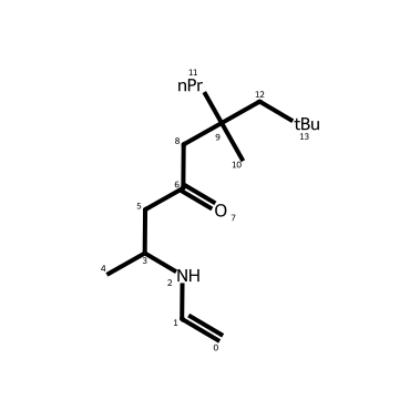 C=CNC(C)CC(=O)CC(C)(CCC)CC(C)(C)C